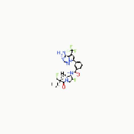 CC(C)(CF)C(=O)N1C[C@H](F)[C@H](NC(=O)c2cccc(-c3cc(C(F)(F)F)c4c(N)ncnn34)c2)C1